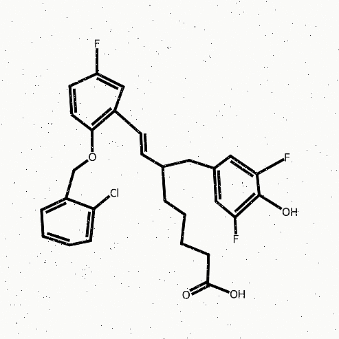 O=C(O)CCCCC(/C=C/c1cc(F)ccc1OCc1ccccc1Cl)Cc1cc(F)c(O)c(F)c1